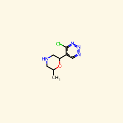 CC1CNCC(c2cnnnc2Cl)O1